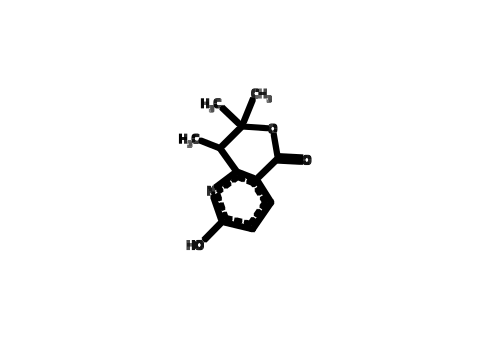 CC1c2nc(O)ccc2C(=O)OC1(C)C